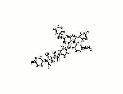 Cn1cc(-c2oc3nc(Nc4ccccc4)nc(Oc4ccc(NC(=O)c5cn(C)n(-c6ccc(F)cc6)c5=O)cc4)c3c2-c2cccc(N)c2)cn1